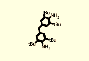 CC(C)(C)c1cc(Cc2cc(C(C)(C)C)c(N)c(C(C)(C)C)c2)cc(C(C)(C)C)c1N